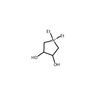 CC[N+]1(CC)CC(O)C(O)C1